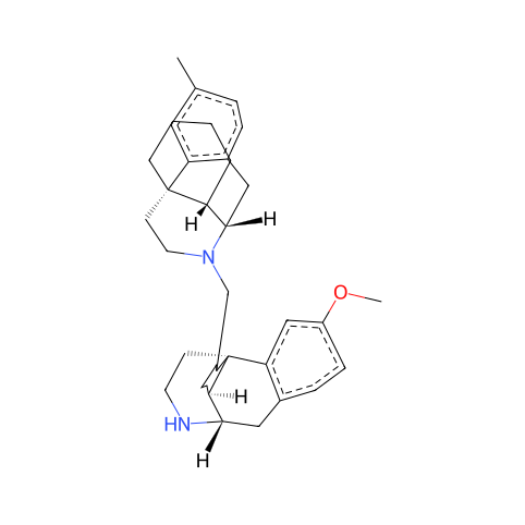 COc1ccc2c(c1)[C@@]13CCN[C@@H](C2)[C@H]1CCCC3CN1CC[C@@]23CCCC[C@@H]2[C@@H]1Cc1ccc(C)cc13